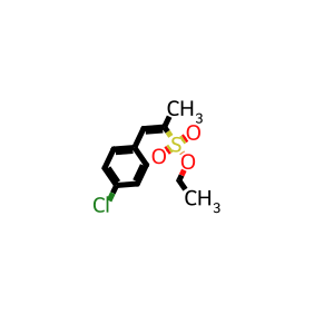 CCOS(=O)(=O)C(C)=Cc1ccc(Cl)cc1